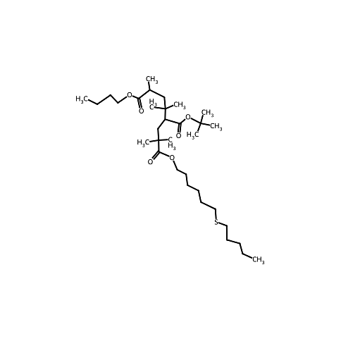 CCCCCSCCCCCCOC(=O)C(C)(C)CC(C(=O)OC(C)(C)C)C(C)(C)CC(C)C(=O)OCCCC